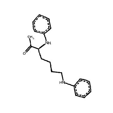 CC(=O)C(CCCCNc1ccccc1)Nc1ccccc1